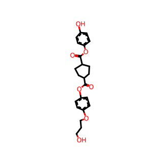 O=C(Oc1ccc(O)cc1)C1CCC(C(=O)Oc2ccc(OCCCO)cc2)CC1